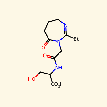 CCC1=NCCCC(=O)N1CC(=O)NC(CO)C(=O)O